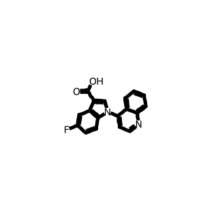 O=C(O)c1cn(-c2ccnc3ccccc23)c2ccc(F)cc12